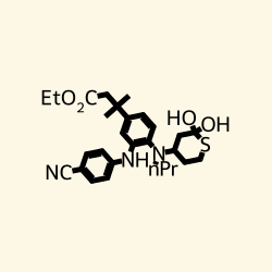 CCCN(c1ccc(C(C)(C)CC(=O)OCC)cc1Nc1ccc(C#N)cc1)C1CCSC(O)(O)C1